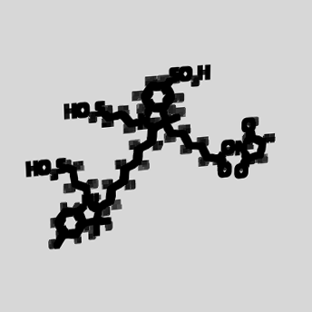 Cc1ccc2c(c1)C(C)(C)C(/C=C/C=C/C=C/C=C1\N(CCCS(=O)(=O)O)c3ccc(S(=O)(=O)O)cc3C1(C)CCCCCC(=O)ON1C(=O)CCC1=O)=[N+]2CCCS(=O)(=O)O